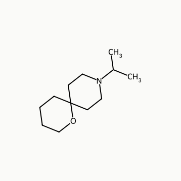 CC(C)N1CCC2(CCCCO2)CC1